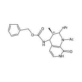 CCCC1[C@H](C)C(NC(=O)OCc2ccccc2)c2cc[nH]c(=O)c2N1C(C)=O